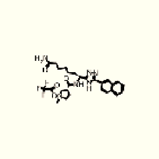 C[N+]1(OC(=O)C(F)(F)F)CC[C@H](C(=O)N[C@@H](CCCCCC(N)=O)c2nnc(-c3ccc4ccccc4c3)[nH]2)C1